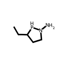 CCC1CCN(N)P1